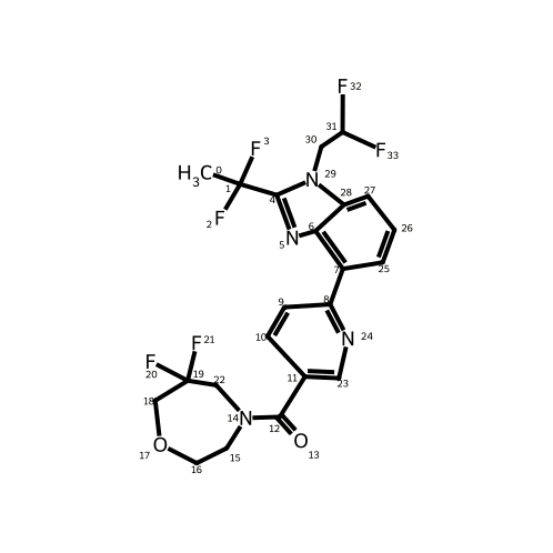 CC(F)(F)c1nc2c(-c3ccc(C(=O)N4CCOCC(F)(F)C4)cn3)cccc2n1CC(F)F